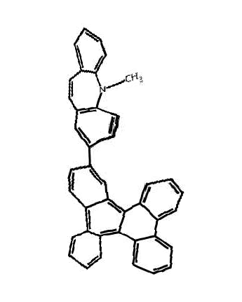 CN1c2ccccc2C=Cc2cc(-c3ccc4c5ccccc5c5c6ccccc6c6ccccc6c5c4c3)ccc21